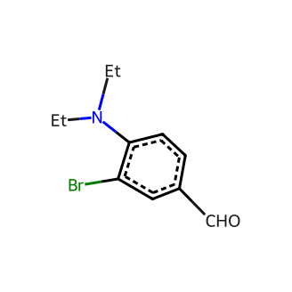 CCN(CC)c1ccc(C=O)cc1Br